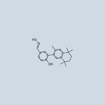 Cc1cc2c(cc1-c1cc(C=NO)ccc1O)C(C)(C)CCC2(C)C